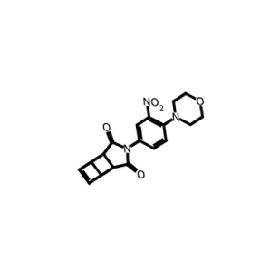 O=C1C2C3C=CC3C2C(=O)N1c1ccc(N2CCOCC2)c([N+](=O)[O-])c1